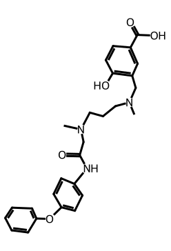 CN(CCCN(C)Cc1cc(C(=O)O)ccc1O)CC(=O)Nc1ccc(Oc2ccccc2)cc1